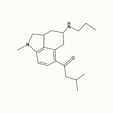 CCCNC1Cc2c(C(=O)CC(C)C)ccc3c2C(C1)CN3C